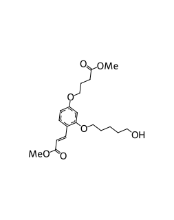 COC(=O)C=Cc1ccc(OCCCC(=O)OC)cc1OCCCCCO